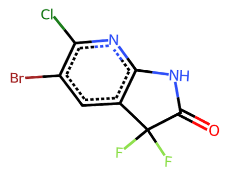 O=C1Nc2nc(Cl)c(Br)cc2C1(F)F